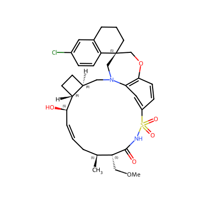 COC[C@H]1C(=O)NS(=O)(=O)c2ccc3c(c2)N(C[C@@H]2CC[C@H]2[C@H](O)C=CC[C@@H]1C)C[C@@]1(CCCc2cc(Cl)ccc21)CO3